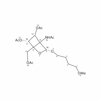 COCCCCO[C@@H]1OC2(COC(C)=O)[C@H](OC(C)=O)C(OC(C)=O)C12NC(C)=O